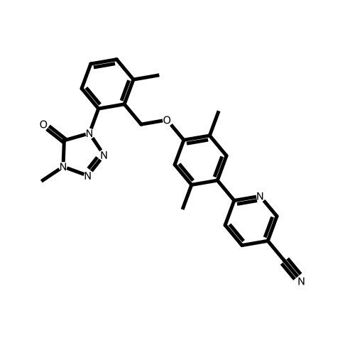 Cc1cc(-c2ccc(C#N)cn2)c(C)cc1OCc1c(C)cccc1-n1nnn(C)c1=O